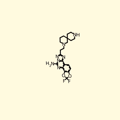 Nc1nc2c3c(ccc2c2nc(CCN4CCCC5(CCNCC5)C4)nn12)OC(F)(F)O3